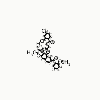 CCOc1cc2ccc([S+]([O-])c3ccccc3OC)cc2c(OC(=O)COC(=O)c2ccc(Cl)cc2Cl)c1OCC